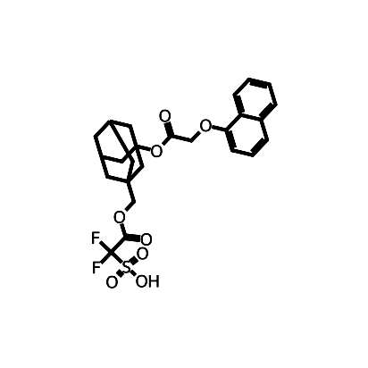 O=C(COc1cccc2ccccc12)OC12CC3CC(CC(COC(=O)C(F)(F)S(=O)(=O)O)(C3)C1)C2